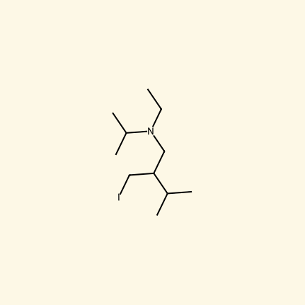 CCN(CC(CI)C(C)C)C(C)C